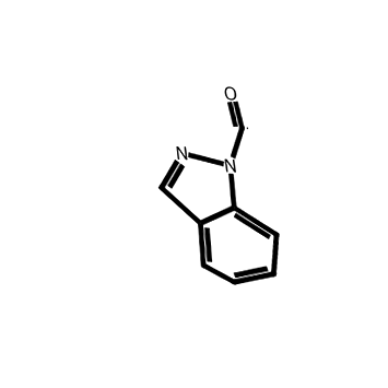 O=[C]n1ncc2ccccc21